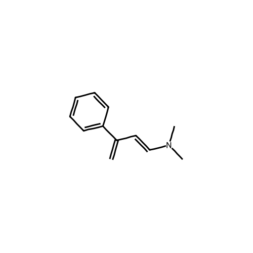 C=C(/C=C/N(C)C)c1ccccc1